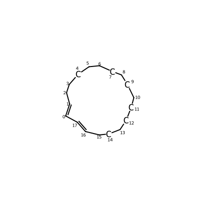 C1=C/CCCCCCCCCCCCCC/C=C/1